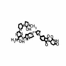 CN1CCN([C@H]2CCCN(c3cnc(C(N)=O)c(Nc4cc5n(n4)CCN(C[C@@H]4CCN(c6ccc7c(c6)C(=O)N(C6CCC(=O)NC6=O)C7=O)C4)C5)n3)C2)C1O